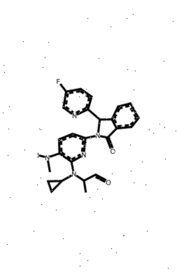 CC(C=O)N(c1nc(N2C(=O)c3ccccc3C2c2ccc(F)cn2)ccc1N(C)I)C1CC1